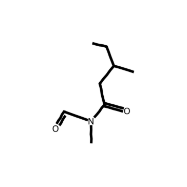 CCC(C)CC(=O)N(C)C=O